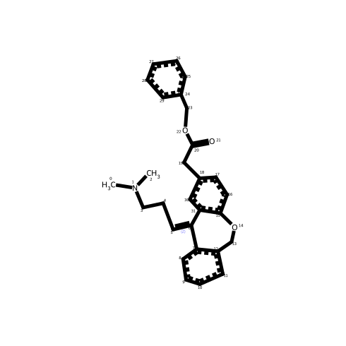 CN(C)CC/C=C1/c2ccccc2COc2ccc(CC(=O)OCc3ccccc3)cc21